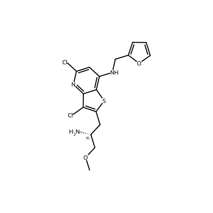 COC[C@H](N)Cc1sc2c(NCc3ccco3)cc(Cl)nc2c1Cl